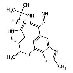 Cc1nc2cc(/C(C=N)=C/NC(C)(C)C)cc(O[C@@H](C)[C@@H]3CNC(=O)C3)c2s1